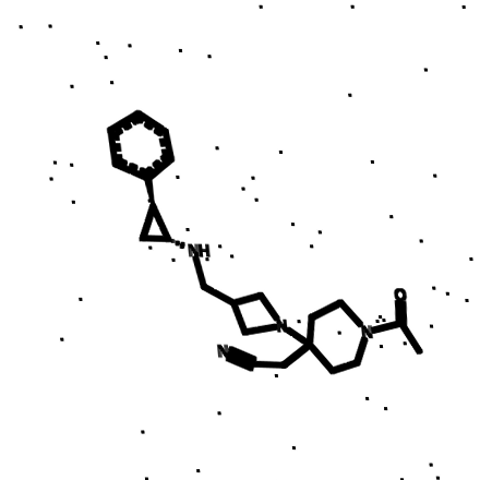 CC(=O)N1CCC(CC#N)(N2CC(CN[C@@H]3C[C@H]3c3ccccc3)C2)CC1